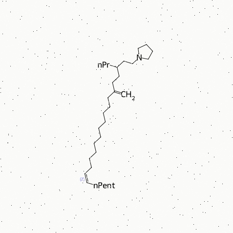 C=C(CCCCCCCCCC/C=C\CCCCC)CCC(CCC)CCN1CCCC1